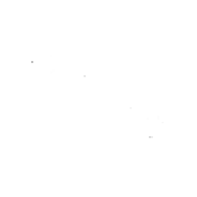 C/C(=C\c1ccc(Cc2cccnc2)cc1)CN(CCO)Cc1ccccc1